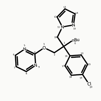 CCCCC(COc1ncccn1)(Cn1cccn1)c1ccc(Cl)cc1